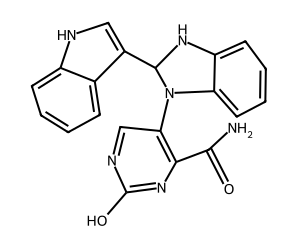 NC(=O)c1nc(O)ncc1N1c2ccccc2NC1c1c[nH]c2ccccc12